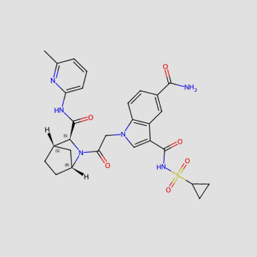 Cc1cccc(NC(=O)[C@@H]2[C@H]3CC[C@H](C3)N2C(=O)Cn2cc(C(=O)NS(=O)(=O)C3CC3)c3cc(C(N)=O)ccc32)n1